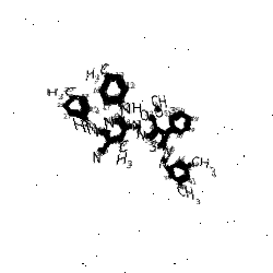 COC(=O)c1c(N=Nc2c(Nc3ccc(C)cc3)nc(Nc3ccc(C)cc3)c(C#N)c2C)sc(N=Nc2cc(C)cc(C)c2)c1-c1ccccc1